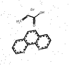 C=CC(=O)O.[Eu].c1cnc2c(c1)ccc1cccnc12